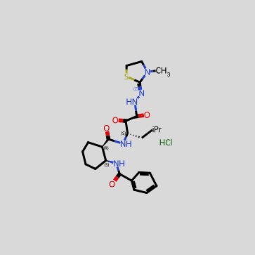 CC(C)C[C@H](NC(=O)[C@@H]1CCCC[C@@H]1NC(=O)c1ccccc1)C(=O)C(=O)N/N=C1\SCCN1C.Cl